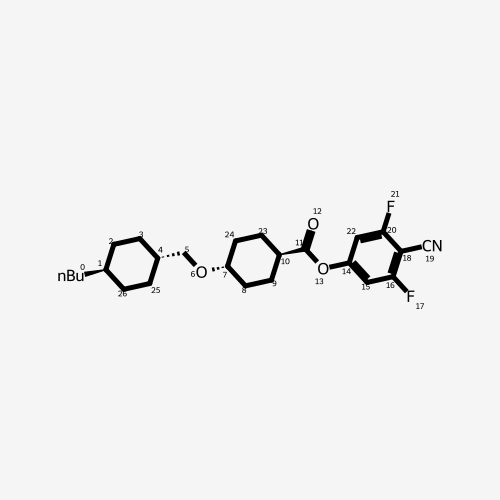 CCCC[C@H]1CC[C@H](CO[C@H]2CC[C@H](C(=O)Oc3cc(F)c(C#N)c(F)c3)CC2)CC1